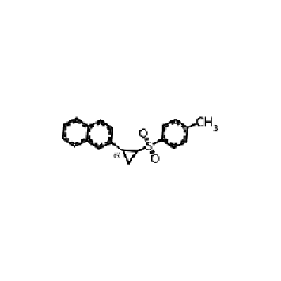 Cc1ccc(S(=O)(=O)C2C[C@H]2c2ccc3ccccc3c2)cc1